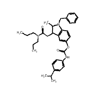 CCCN(CCC)C(=O)CC1c2cc(OC(=O)Nc3ccc(C(C)C)cc3)ccc2N(Cc2ccccc2)C1C